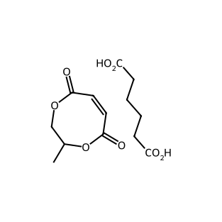 CC1COC(=O)/C=C\C(=O)O1.O=C(O)CCCCC(=O)O